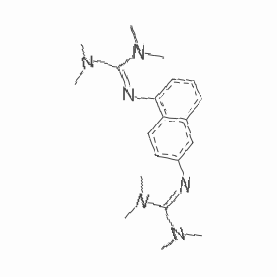 CN(C)C(=Nc1ccc2c(N=C(N(C)C)N(C)C)cccc2c1)N(C)C